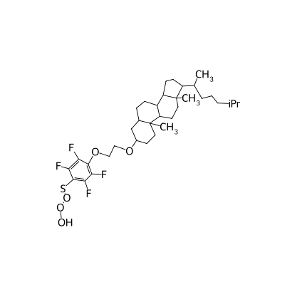 CC(C)CCCC(C)C1CCC2C3CCC4CC(OCCOc5c(F)c(F)c(SOOO)c(F)c5F)CCC4(C)C3CCC12C